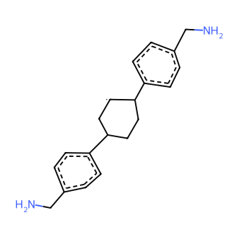 NCc1ccc(C2[CH]CC(c3ccc(CN)cc3)CC2)cc1